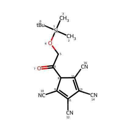 CC(C)(C)[Si](C)(C)OCC(=O)C1C(C#N)=C(C#N)C(C#N)=C1C#N